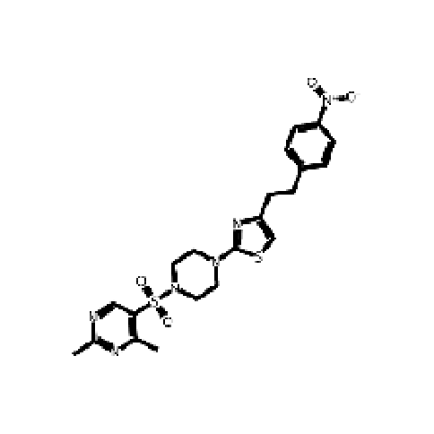 Cc1ncc(S(=O)(=O)N2CCN(c3nc(CCc4ccc([N+](=O)[O-])cc4)cs3)CC2)c(C)n1